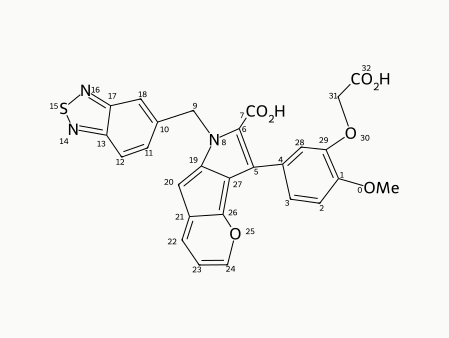 COc1ccc(-c2c(C(=O)O)n(Cc3ccc4nsnc4c3)c3cc4cccoc-4c23)cc1OCC(=O)O